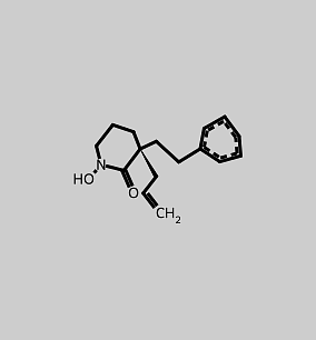 C=CC[C@]1(CCc2ccccc2)CCCN(O)C1=O